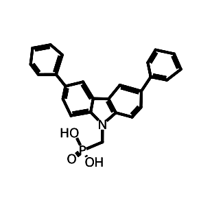 O=P(O)(O)Cn1c2ccc(-c3ccccc3)cc2c2cc(-c3ccccc3)ccc21